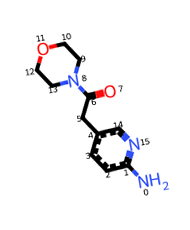 Nc1ccc(CC(=O)N2CCOCC2)cn1